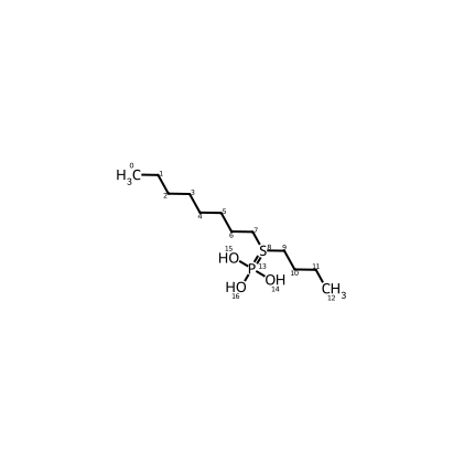 CCCCCCCCS(CCCC)=P(O)(O)O